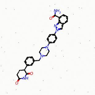 NC(=O)c1cccc2cn(-c3ccc(N4CCN(Cc5cccc(C6CCC(=O)NC6=O)c5)CC4)cc3)nc12